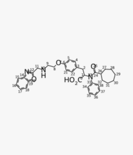 O=C(O)C(Cc1ccc(OCCNCc2nc3ccccc3o2)cc1)N(C(=O)C1CCCCCC1)c1ccccc1